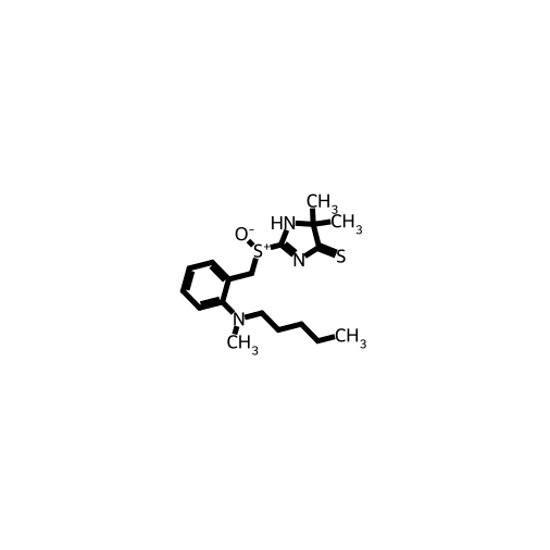 CCCCCN(C)c1ccccc1C[S+]([O-])C1=NC(=S)C(C)(C)N1